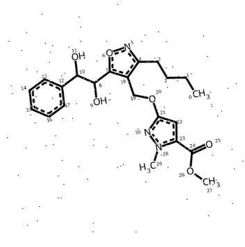 CCCCc1noc(C(O)C(O)c2ccccc2)c1COc1cc(C(=O)OC)n(C)n1